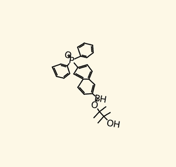 CC(C)(O)C(C)(C)OBc1ccc2cc(P(=O)(c3ccccc3)c3ccccc3)ccc2c1